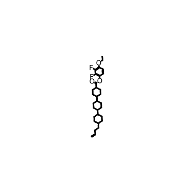 C=CCCC1CCC(C2CCC(C3CCC(C(=O)Oc4ccc(OCC)c(F)c4F)CC3)CC2)CC1